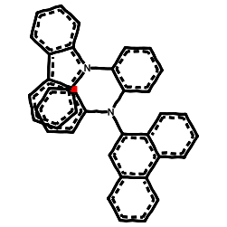 c1ccc(N(c2ccccc2-n2c3ccccc3c3ccccc32)c2cc3ccccc3c3ccccc23)cc1